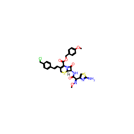 CO/N=C(\C(=O)N[C@@H]1C(=O)N2C(C(=O)OCc3ccc(OC)cc3)=C(/C=C/c3ccc(CCl)cc3)CS[C@H]12)c1csc(N)n1